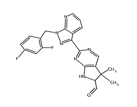 CC1(C)c2cnc(-c3nn(Cc4ccc(F)cc4F)c4ncccc34)nc2NC1C=O